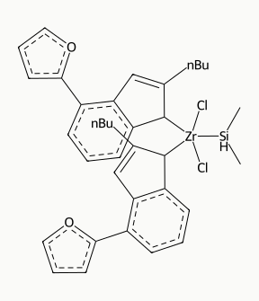 CCCCC1=Cc2c(-c3ccco3)cccc2[CH]1[Zr]([Cl])([Cl])([CH]1C(CCCC)=Cc2c(-c3ccco3)cccc21)[SiH](C)C